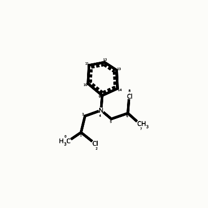 CC(Cl)CN(CC(C)Cl)c1cc[c]cc1